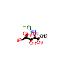 Cl.N.O=CC(O)C(O)C(O)C(O)CO